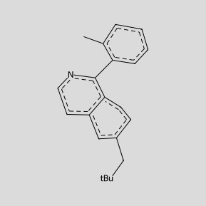 Cc1ccccc1-c1nccc2cc(CC(C)(C)C)ccc12